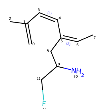 C=C(C)/C=C\C(=C/C)CC(N)CF